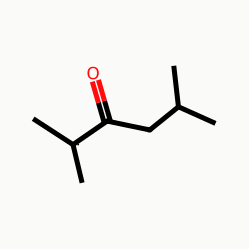 C[C](C)C(=O)CC(C)C